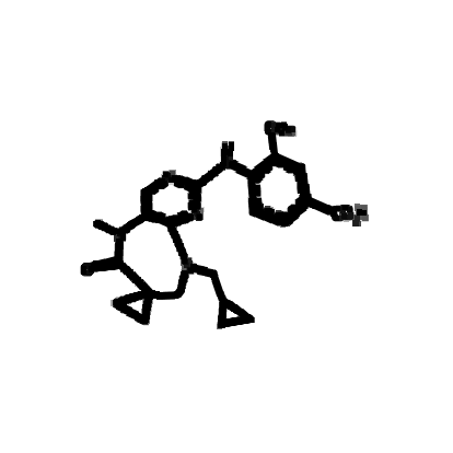 COc1cc(C(=O)O)ccc1Nc1ncc2c(n1)N(CC1CC1)CC1(CC1)C(=O)N2C